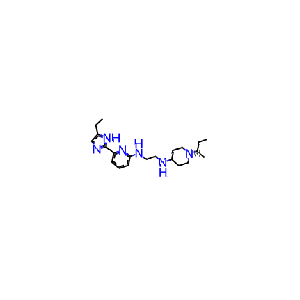 CCc1cnc(-c2cccc(NCCNC3CCN([C@H](C)CC)CC3)n2)[nH]1